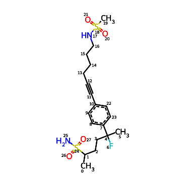 CC(CCC(C)(F)c1ccc(C#CCCCCNS(C)(=O)=O)cc1)S(N)(=O)=O